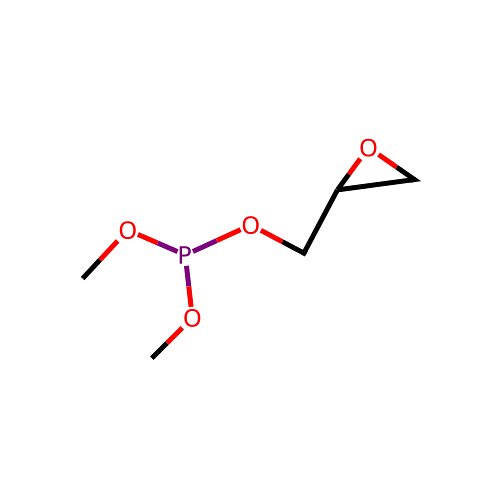 COP(OC)OCC1CO1